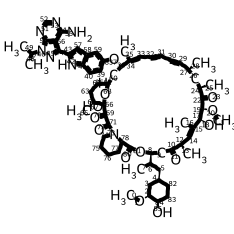 CO[C@@H]1C[C@@H](CC(C)[C@@H]2CC(=O)[C@H](C)/C=C(\C)[C@@H](O)[C@@H](OC)C(=O)[C@H](C)C[C@H](C)/C=C/C=C/C=C(/C)[C@@H](Oc3ccc4[nH]c(-c5nn(C(C)C)c6ncnc(N)c56)cc4c3)C[C@@H]3CC[C@@H](C)[C@@](O)(O3)C(=O)C(=O)N3CCCCC3C(=O)O2)CC[C@H]1O